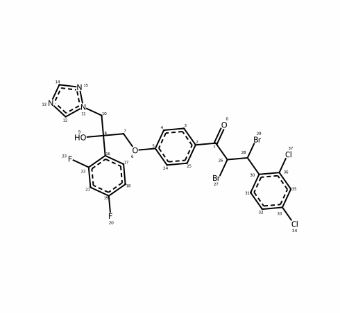 O=C(c1ccc(OCC(O)(Cn2cncn2)c2ccc(F)cc2F)cc1)C(Br)C(Br)c1ccc(Cl)cc1Cl